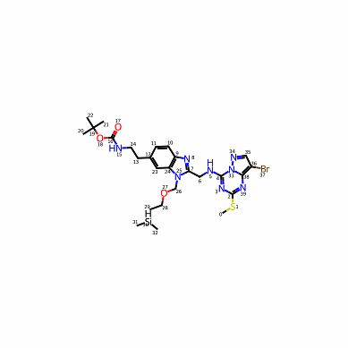 CSc1nc(NCc2nc3ccc(CCNC(=O)OC(C)(C)C)cc3n2COCC[SiH](C)C)n2ncc(Br)c2n1